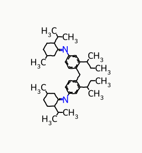 CCC(C)c1cc(N=C2CC(C)CCC2C(C)C)ccc1Cc1ccc(N=C2CC(C)CCC2C(C)C)cc1C(C)CC